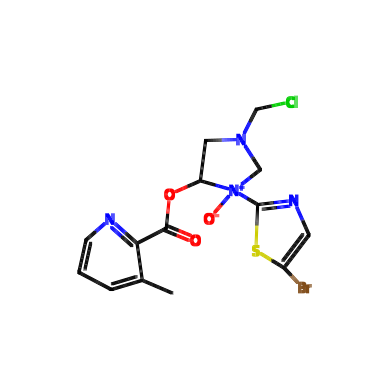 Cc1cccnc1C(=O)OC1CN(CCl)C[N+]1([O-])c1ncc(Br)s1